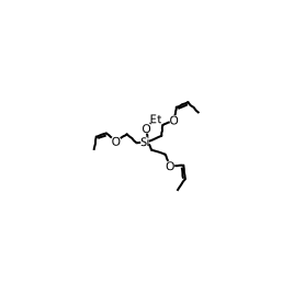 C/C=C\OCC[Si](CCO/C=C\C)(CCO/C=C\C)OCC